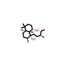 CC[C@@H](C)CC[C@@]1(O)[C@@H](C)CC[C@H]2C(C)(C)CC[C@H](O)[C@@]21C